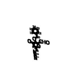 [N-]=[N+]=NCc1cc(=O)c(OCc2ccccc2)c(C=O)o1